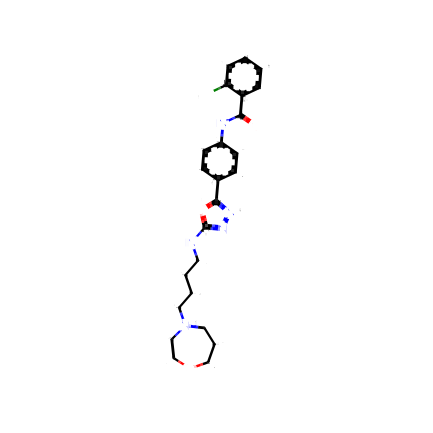 O=C(Nc1ccc(-c2nnc(NCCCCN3CCCOCC3)o2)cc1)c1ccccc1F